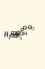 CC(C)(C)OC(=O)N1CCC(c2ccc(OCCCOC3CCCCC3)cc2)C(O)C1